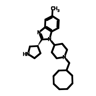 Cc1ccc2c(c1)nc([C@@H]1CCNC1)n2C1CCN(CC2CCCCCCC2)CC1